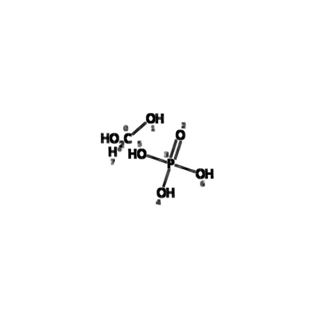 O=C(O)O.O=P(O)(O)O.[H+]